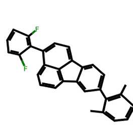 Cc1cccc(C)c1-c1ccc2c(c1)-c1cccc3c(-c4c(F)cccc4F)ccc-2c13